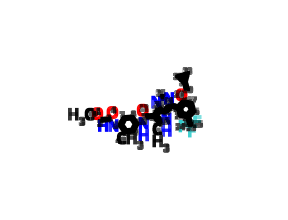 COCC(=O)N[C@@H]1CC[C@H](NC(=O)c2c(C)[nH]c3c(-c4cc(C(F)(F)F)ccc4OCC4CC4)ncnc23)C[C@H]1C